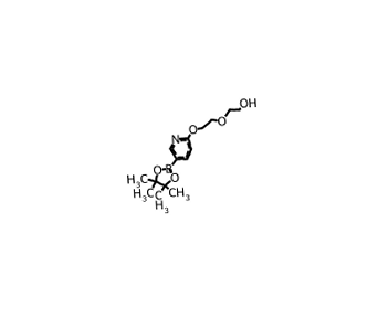 CC1(C)OB(c2ccc(OCCOCCO)nc2)OC1(C)C